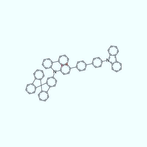 c1ccc(-c2ccccc2N(c2ccc(-c3ccc(-c4ccc(-n5c6ccccc6c6ccccc65)cc4)cc3)cc2)c2ccc3c(c2)C2(c4ccccc4-c4ccccc42)c2ccccc2-3)cc1